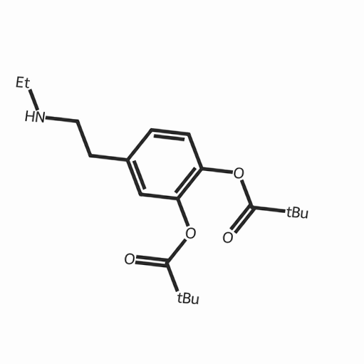 CCNCCc1ccc(OC(=O)C(C)(C)C)c(OC(=O)C(C)(C)C)c1